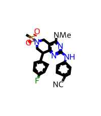 CNc1nc(Nc2ccc(C#N)cc2)nc2c1CN(S(C)(=O)=O)CC2c1ccc(F)cc1